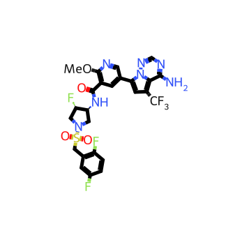 COc1ncc(-c2cc(C(F)(F)F)c3c(N)ncnn23)cc1C(=O)N[C@@H]1CN(S(=O)(=O)Cc2cc(F)ccc2F)C[C@@H]1F